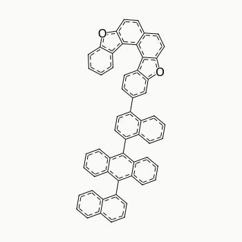 c1ccc2c(-c3c4ccccc4c(-c4ccc(-c5ccc6c(c5)oc5ccc7ccc8oc9ccccc9c8c7c56)c5ccccc45)c4ccccc34)cccc2c1